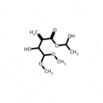 C=C(C(=O)OC(C)O)C(O)C(OC)OC